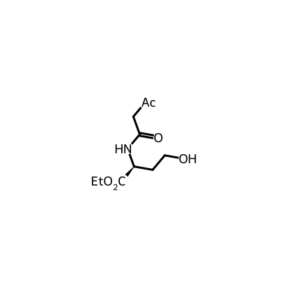 CCOC(=O)[C@H](CCO)NC(=O)CC(C)=O